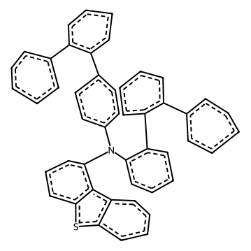 c1ccc(-c2ccccc2-c2ccc(N(c3ccccc3-c3ccccc3-c3ccccc3)c3cccc4sc5ccccc5c34)cc2)cc1